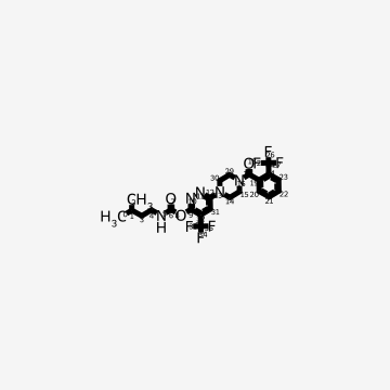 CC(C)CCNC(=O)Oc1nnc(N2CCN(C(=O)c3ccccc3C(F)(F)F)CC2)cc1C(F)(F)F